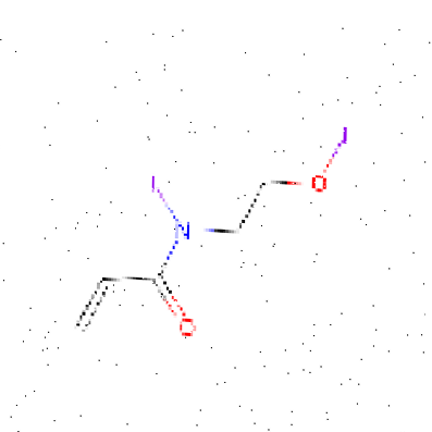 C=CC(=O)N(I)CCOI